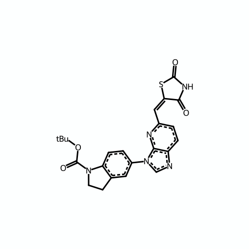 CC(C)(C)OC(=O)N1CCc2cc(-n3cnc4ccc(C=C5SC(=O)NC5=O)nc43)ccc21